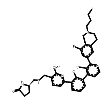 COc1nc(-c2cccc(-c3ccnc(-c4cc(F)c5c(c4)CCN(CCCF)C5)c3Cl)c2Cl)ccc1CNC[C@H]1CCC(=O)N1